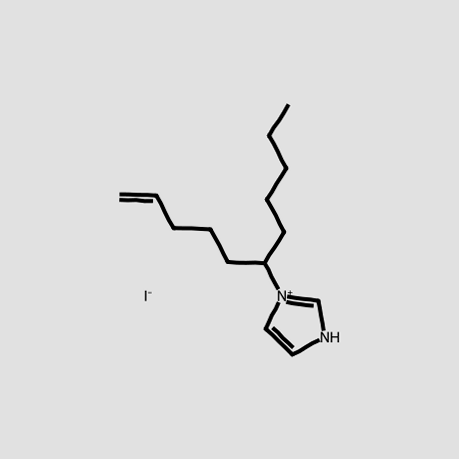 C=CCCCC(CCCCC)[n+]1cc[nH]c1.[I-]